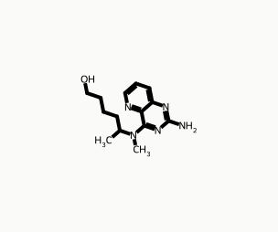 CC(CCCCO)N(C)c1nc(N)nc2cccnc12